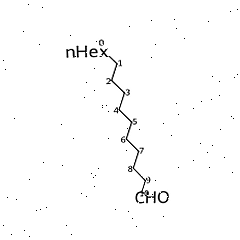 [CH2]CCCCCCCCCCCCCCC=O